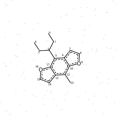 CCC(CC)c1c2ccoc2c(C)c2ccoc12